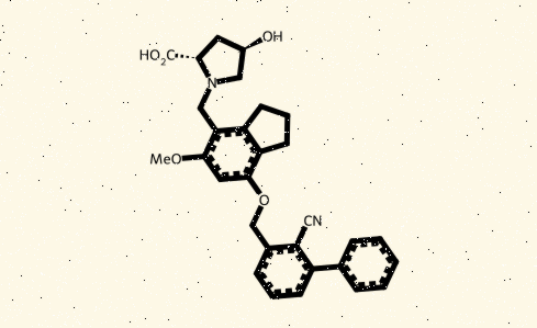 COc1cc(OCc2cccc(-c3ccccc3)c2C#N)c2c(c1CN1C[C@H](O)C[C@H]1C(=O)O)CCC2